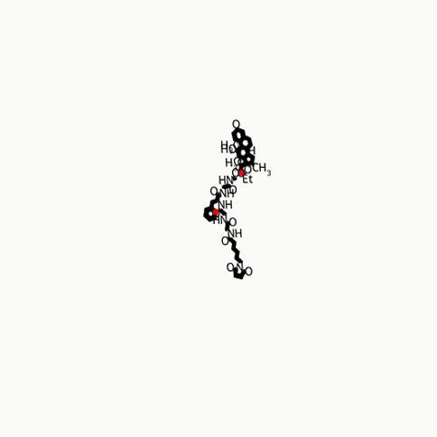 CCC(=O)O[C@]1(C(=O)COCNC(=O)CNC(=O)C(Cc2ccccc2)NC(=O)CNC(=O)CNC(=O)CCCCCN2C(=O)C=CC2=O)[C@@H](C)CC2[C@@H]3CCC4=CC(=O)C=C[C@]4(C)[C@@]3(Cl)[C@@H](O)C[C@@]21C